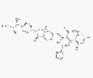 COC(=O)C1=C(CN2CCN3C(=O)N(c4ccc(C(O)C(O)C(=O)O)cc4)C[C@@H]3C2)NC(c2nccs2)=N[C@H]1c1ccc(F)cc1Cl